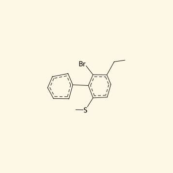 CCc1ccc(SC)c(-c2ccccc2)c1Br